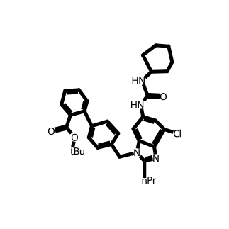 CCCc1nc2c(Cl)cc(NC(=O)NC3CCCCC3)cc2n1Cc1ccc(-c2ccccc2C(=O)OC(C)(C)C)cc1